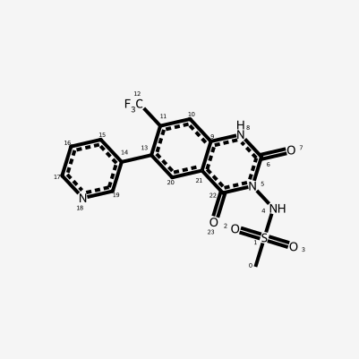 CS(=O)(=O)Nn1c(=O)[nH]c2cc(C(F)(F)F)c(-c3cccnc3)cc2c1=O